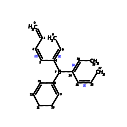 C=C/C=C\C(=C/C)B(C1=CCCC=C1)C(/C=C\C)=C/C